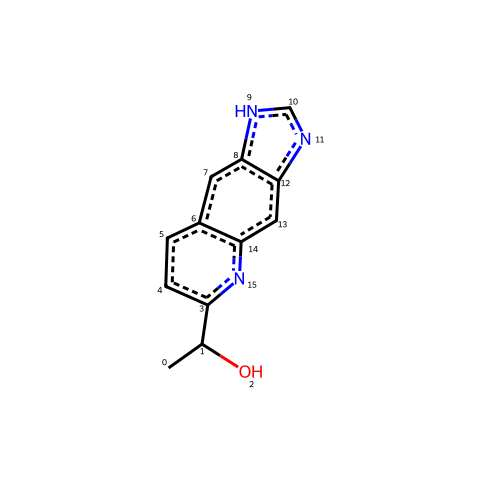 CC(O)c1ccc2cc3[nH]cnc3cc2n1